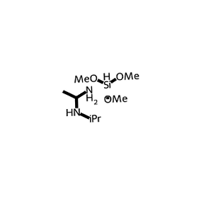 CC(C)NC(C)N.CO[SiH](OC)OC